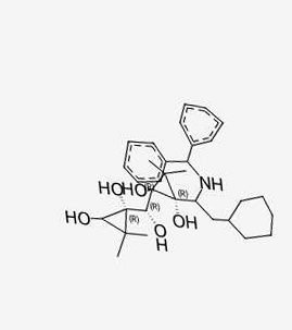 CC1(C)C(O)[C@@]1(O)[C@@H](O)[C@]1(O)C(C)(C)[C@@]1(O)C(CC1CCCCC1)NC(c1ccccc1)c1ccccc1